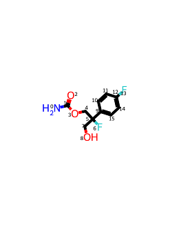 NC(=O)OCC(F)(CO)c1ccc(F)cc1